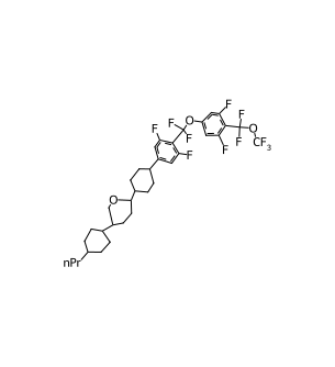 CCCC1CCC(C2CCC(C3CCC(c4cc(F)c(C(F)(F)Oc5cc(F)c(C(F)(F)OC(F)(F)F)c(F)c5)c(F)c4)CC3)OC2)CC1